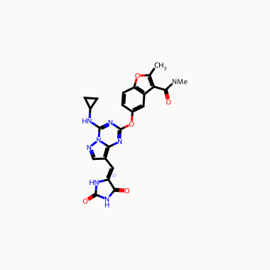 CNC(=O)c1c(C)oc2ccc(Oc3nc(NC4CC4)n4ncc(/C=C5\NC(=O)NC5=O)c4n3)cc12